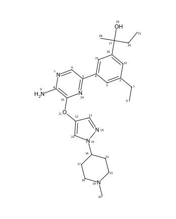 CCc1cc(-c2cnc(N)c(Oc3cnn(C4CCN(C)CC4)c3)n2)cc(C(C)(O)CC)c1